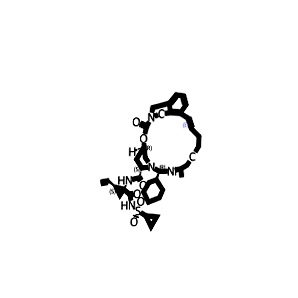 C=C[C@@H]1C[C@]1(NC(=O)[C@@H]1C[C@@H]2CN1[C@H](C1CCCCC1)NC(C)CCCC/C=C/c1cccc3c1CN(C3)C(=O)O2)C(=O)NS(=O)(=O)C1CC1